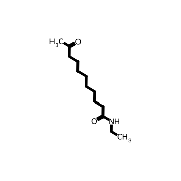 CCNC(=O)CCCCCCCCC(C)=O